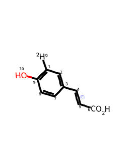 [2H]c1cc(/C=C/C(=O)O)ccc1O